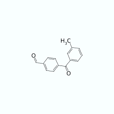 Cc1cccc(C(=O)c2ccc(C=O)cc2)c1